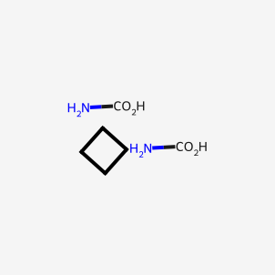 C1CCC1.NC(=O)O.NC(=O)O